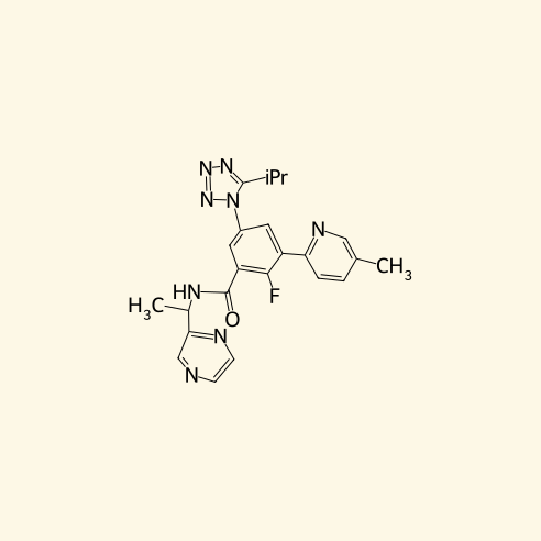 Cc1ccc(-c2cc(-n3nnnc3C(C)C)cc(C(=O)NC(C)c3cnccn3)c2F)nc1